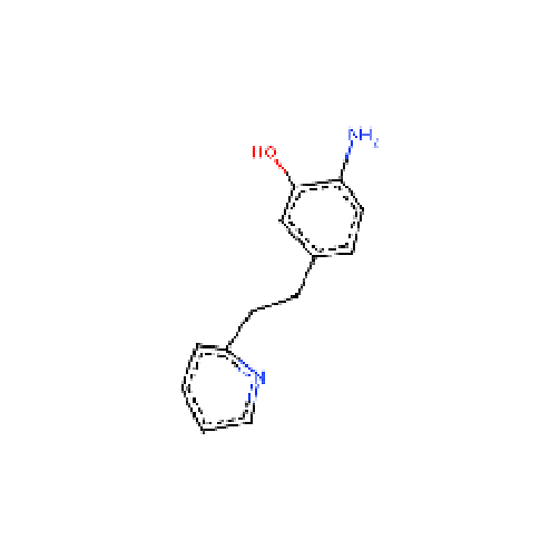 Nc1ccc(CCc2ccccn2)cc1O